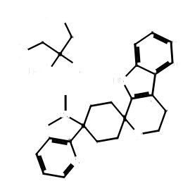 CN(C)C1(c2ccccn2)CCC2(CC1)OCCc1c2[nH]c2ccccc12.O=C(O)CC(O)(CC(=O)O)C(=O)O